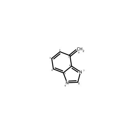 C=c1cccc2c1=N[C]=N2